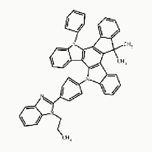 CCCn1c(-c2ccc(-n3c4ccccc4c4c5c(c6c(c7ccccc7n6-c6ccccc6)c43)-c3ccccc3C5(C)C)cc2)nc2ccccc21